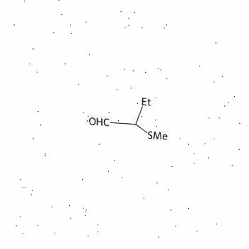 CCC([C]=O)SC